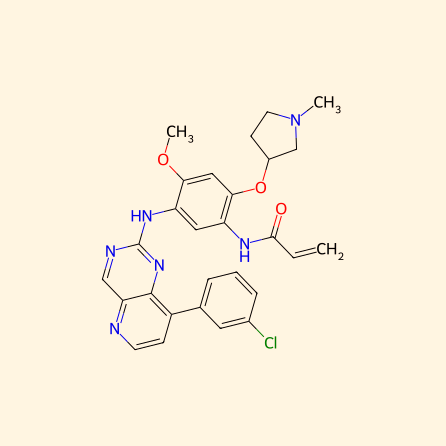 C=CC(=O)Nc1cc(Nc2ncc3nccc(-c4cccc(Cl)c4)c3n2)c(OC)cc1OC1CCN(C)C1